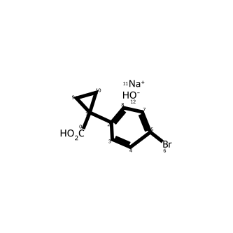 O=C(O)C1(c2ccc(Br)cc2)CC1.[Na+].[OH-]